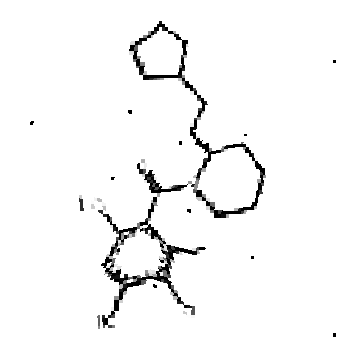 Cc1c(Cl)c(O)cc(O)c1C(=O)N1CCCCC1CCC1CCCC1